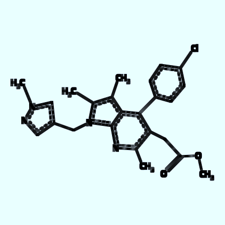 COC(=O)Cc1c(C)nc2c(c(C)c(C)n2Cc2cnn(C)c2)c1-c1ccc(Cl)cc1